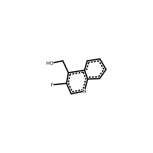 OCc1c(F)cnc2ccccc12